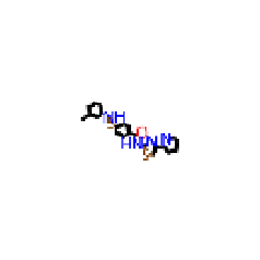 Cc1cccc(NSc2ccc(C(=O)Nc3nc(-c4ccccn4)cs3)cc2)c1